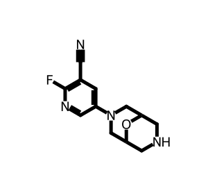 N#Cc1cc(N2CC3CNCC(C2)O3)cnc1F